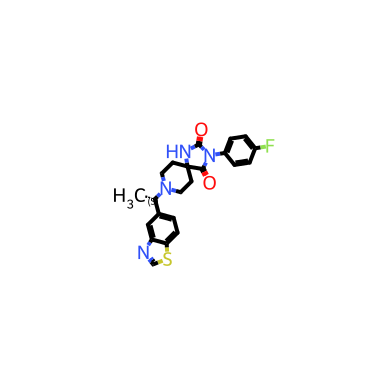 C[C@@H](c1ccc2scnc2c1)N1CCC2(CC1)NC(=O)N(c1ccc(F)cc1)C2=O